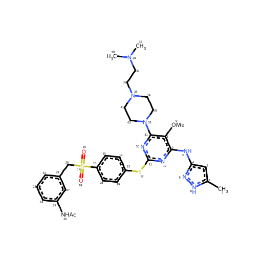 COc1c(Nc2cc(C)[nH]n2)nc(Sc2ccc(S(=O)(=O)Cc3cccc(NC(C)=O)c3)cc2)nc1N1CCN(CCN(C)C)CC1